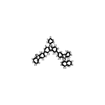 c1ccc(-n2c3ccc(-c4ccc5c(c4)sc4ccccc45)cc3c3cc(-c4ccc5c(c4)c4ccccc4n5-c4cccc5ccccc45)ccc32)cc1